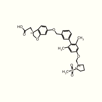 Cc1cc(OC[C@H]2CCCN2S(C)(=O)=O)cc(C)c1-c1cccc(COc2ccc3c(c2)OC[C@H]3CC(=O)O)c1